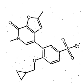 CCS(=O)(=O)c1ccc(OCC2CC2)c(-c2cn(C)c(=O)c3oc(C)cc23)c1